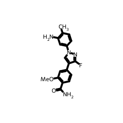 COc1cc(-c2cn(-c3ccc(C)c(N)c3)nc2F)ccc1C(N)=O